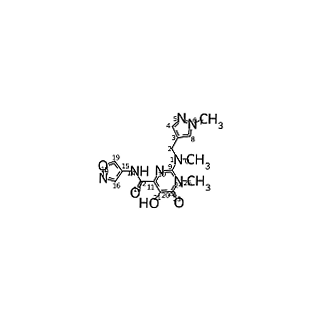 CN(Cc1cnn(C)c1)c1nc(C(=O)Nc2cnoc2)c(O)c(=O)n1C